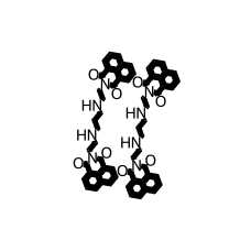 O=C1c2cccc3cccc(c23)C(=O)N1CCNCCCNCCN1C(=O)c2cccc3cccc(c23)C1=O.O=C1c2cccc3cccc(c23)C(=O)N1CCNCCCNCCN1C(=O)c2cccc3cccc(c23)C1=O